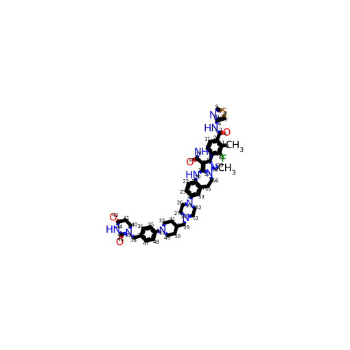 Cc1c(C(=O)Nc2cscn2)ccc(C2C(C(N)=O)=C3Nc4ccc(N5CCN(CC6CCN(c7ccc(CN8CCC(=O)NC8=O)cc7)CC6)CC5)cc4CCN3N2C)c1F